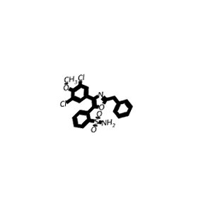 COc1c(Cl)cc(-c2nc(Cc3ccccc3)oc2-c2ccccc2S(N)(=O)=O)cc1Cl